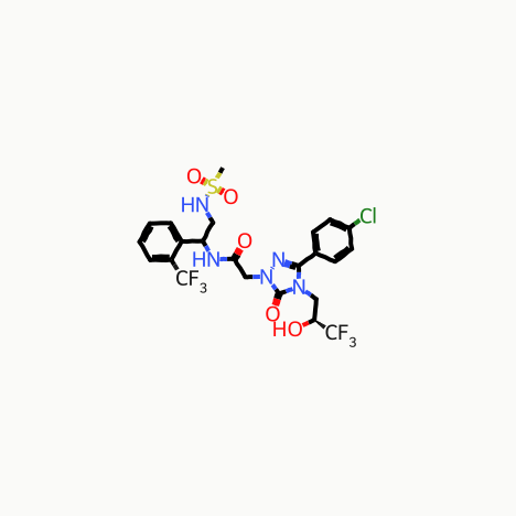 CS(=O)(=O)NCC(NC(=O)Cn1nc(-c2ccc(Cl)cc2)n(C[C@H](O)C(F)(F)F)c1=O)c1ccccc1C(F)(F)F